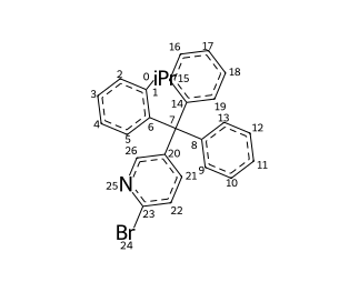 CC(C)c1ccccc1C(c1ccccc1)(c1ccccc1)c1ccc(Br)nc1